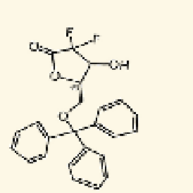 O=C1O[C@H](COC(c2ccccc2)(c2ccccc2)c2ccccc2)C(O)C1(F)F